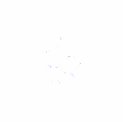 [2H]C([2H])c1ccnc(N)c1N